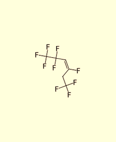 F/C(=C/C(F)(F)C(F)(F)F)CC(F)(F)F